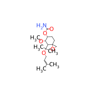 COC1C(OC(N)=O)CCC2(CO2)C1C(C)(C)OCC=C(C)C